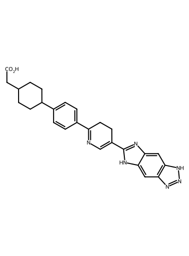 O=C(O)CC1CCC(c2ccc(C3=NC=C(c4nc5cc6[nH]nnc6cc5[nH]4)CC3)cc2)CC1